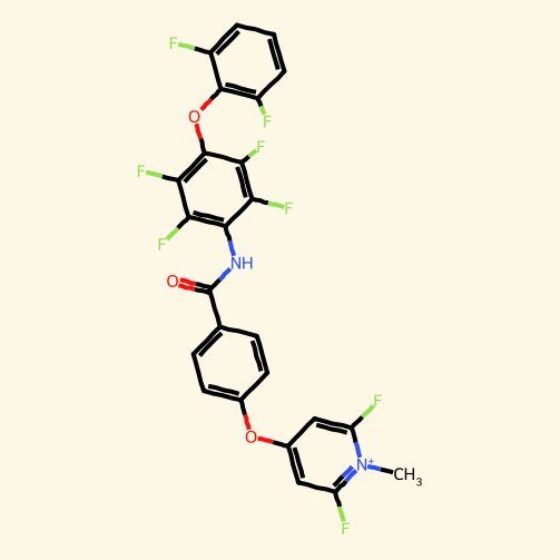 C[n+]1c(F)cc(Oc2ccc(C(=O)Nc3c(F)c(F)c(Oc4c(F)cccc4F)c(F)c3F)cc2)cc1F